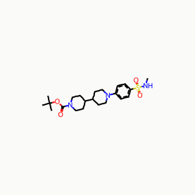 CNS(=O)(=O)c1ccc(N2CCC(C3CCN(C(=O)OC(C)(C)C)CC3)CC2)cc1